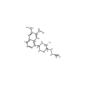 COc1cc2nccc(N3CCN(CCN)[C@@H](C)C3)c2cc1OC